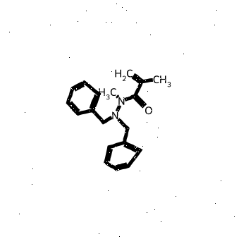 C=C(C)C(=O)N(C)N(Cc1ccccc1)Cc1ccccc1